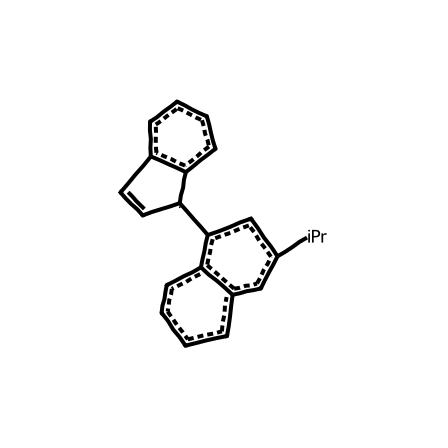 CC(C)c1cc([C]2C=Cc3ccccc32)c2ccccc2c1